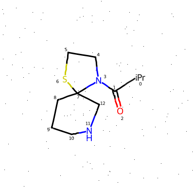 CC(C)C(=O)N1CCSC12CCCNC2